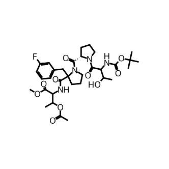 COC(=O)C(NC(=O)C1(Cc2cccc(F)c2)CCCN1C(=O)[C@@H]1CCCN1C(=O)C(NC(=O)OC(C)(C)C)C(C)O)C(C)OC(C)=O